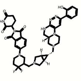 O=C1CCC(N2C(=O)c3ccc(N4CCC(F)(F)C(CN5C[C@@H]6[C@H](C5)[C@H]6CN5CCN6c7cc(-c8ccccc8O)nnc7NC[C@H]6C5)C4)cc3C2=O)C(=O)N1